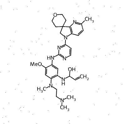 C=CC(O)Nc1cc(Nc2nccc(N3CC4(CCOCC4)c4nc(C)ccc43)n2)c(OC)cc1N(C)CCN(C)C